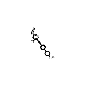 CCCC1CCC(c2ccc(C#Cc3ncc(N=C=S)cc3Cl)cc2)CC1